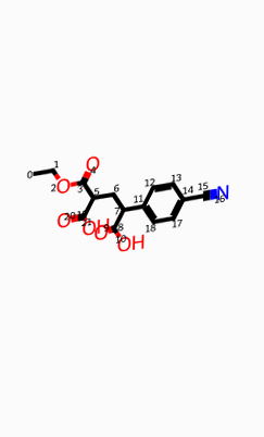 CCOC(=O)C(CC(C(=O)O)c1ccc(C#N)cc1)C(=O)O